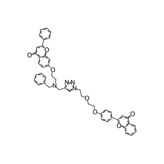 O=c1cc(-c2ccc(OCCOCCn3cc(CN(CCOc4ccc5c(=O)cc(-c6ccccc6)oc5c4)Cc4ccccc4)nn3)cc2)oc2ccccc12